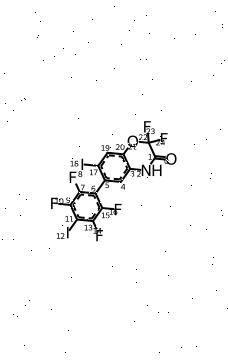 O=C1Nc2cc(-c3c(F)c(F)c(I)c(F)c3F)c(I)cc2OC1(F)F